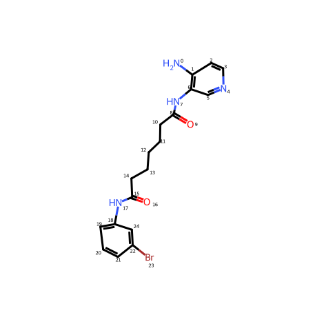 Nc1ccncc1NC(=O)CCCCCC(=O)Nc1cccc(Br)c1